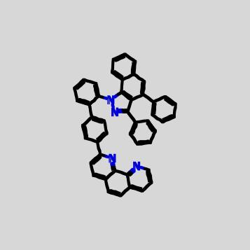 c1ccc(-c2cc3ccccc3c3c2c(-c2ccccc2)nn3-c2ccccc2-c2ccc(-c3ccc4ccc5cccnc5c4n3)cc2)cc1